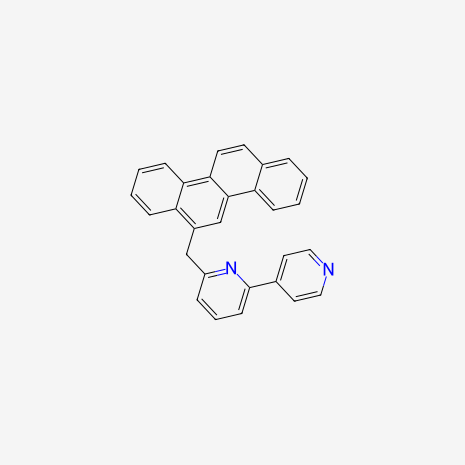 c1cc(Cc2cc3c4ccccc4ccc3c3ccccc23)nc(-c2ccncc2)c1